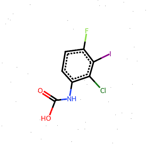 O=C(O)Nc1ccc(F)c(I)c1Cl